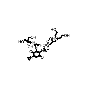 NC(CO)(CO)CO.O=C1C=C(N2CC2)C(=O)C(N2CC2)=C1N1CC1.O=S(=O)(O)CC(O)CN(CCO)CCO